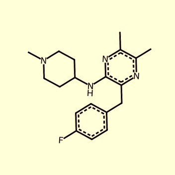 Cc1nc(Cc2ccc(F)cc2)c(NC2CCN(C)CC2)nc1C